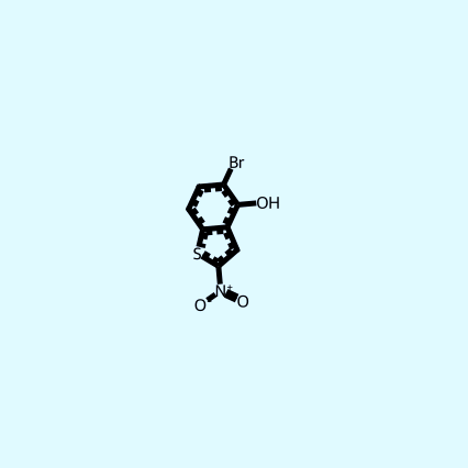 O=[N+]([O-])c1cc2c(O)c(Br)ccc2s1